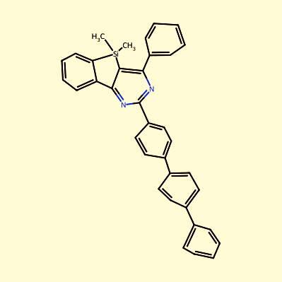 C[Si]1(C)c2ccccc2-c2nc(-c3ccc(-c4ccc(-c5ccccc5)cc4)cc3)nc(-c3ccccc3)c21